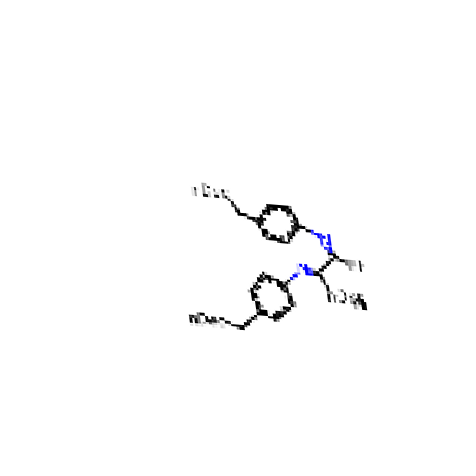 CCCCCCCCCCCc1ccc(N=C(CC)C(CCCCCCCC)=Nc2ccc(CCCCCCCCCCC)cc2)cc1.[Ni]